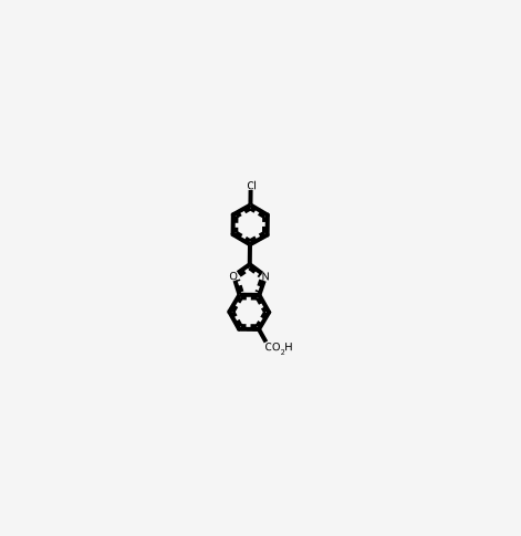 O=C(O)c1ccc2oc(-c3ccc(Cl)cc3)nc2c1